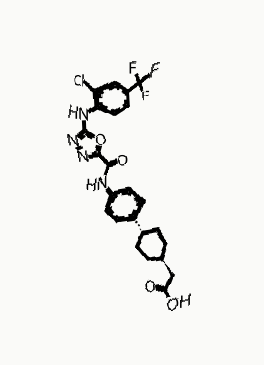 O=C(O)C[C@H]1CC[C@H](c2ccc(NC(=O)c3nnc(Nc4ccc(C(F)(F)F)cc4Cl)o3)cc2)CC1